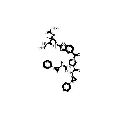 CCCCCCCCCC(=O)N[C@](C)(CNc1nc2cc(C(=O)N3C[C@@H](C(=O)N[C@H]4C[C@@H]4c4ccccc4)[C@H](C(=O)N[C@H]4C[C@@H]4c4ccccc4)C3)ccc2o1)C(=O)NCCCCCC